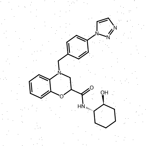 O=C(N[C@H]1CCCC[C@@H]1O)C1CN(Cc2ccc(-n3ccnn3)cc2)c2ccccc2O1